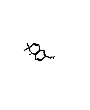 CC(C)c1ccc2c(c1)C=CC(C)(C)O2